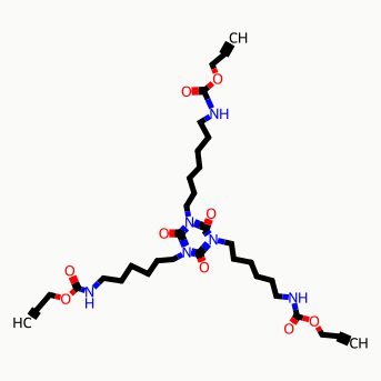 C#CCOC(=O)NCCCCCCCn1c(=O)n(CCCCCCNC(=O)OCC#C)c(=O)n(CCCCCCNC(=O)OCC#C)c1=O